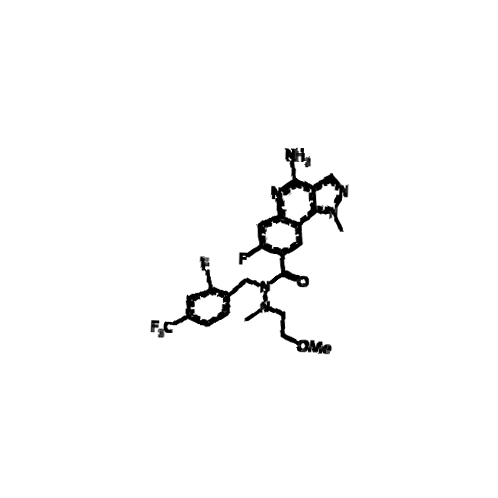 COCCN(C)N(Cc1ccc(C(F)(F)F)cc1F)C(=O)c1cc2c(cc1F)nc(N)c1cnn(C)c12